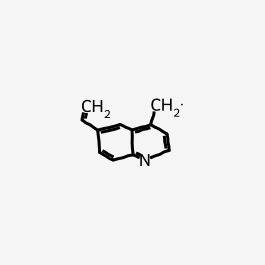 [CH2]c1ccnc2ccc(C=C)cc12